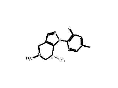 C[C@@H]1CN(C)Cc2cnn(-c3ncc(F)cc3F)c21